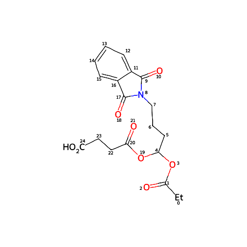 CCC(=O)OC(CCCN1C(=O)c2ccccc2C1=O)OC(=O)CCC(=O)O